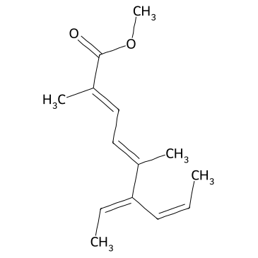 C\C=C/C(=C\C)C(/C)=C/C=C(\C)C(=O)OC